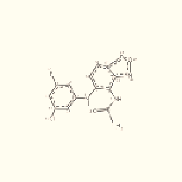 CC(=O)Nc1c(Nc2cc(F)cc(Cl)c2)ccc2nonc12